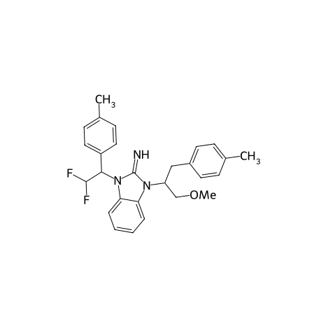 COCC(Cc1ccc(C)cc1)n1c(=N)n(C(c2ccc(C)cc2)C(F)F)c2ccccc21